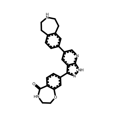 O=C1NCCOc2cc(-c3n[nH]c4ncc(-c5ccc6c(c5)CCNCC6)cc34)ccc21